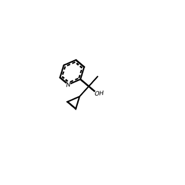 CC(O)(c1ccccn1)C1CC1